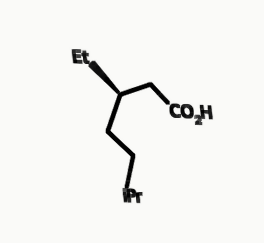 CC[C@H](CCC(C)C)CC(=O)O